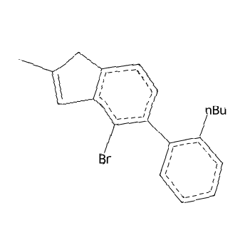 CCCCc1ccccc1-c1ccc2c(c1Br)C=C(C)C2